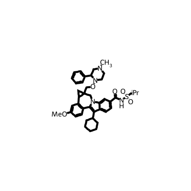 COc1ccc2c(c1)C1CC1(CON1CCN(C)CC1c1ccccc1)Cn1c-2c(C2CCCCC2)c2ccc(C(=O)NS(=O)(=O)C(C)C)cc21